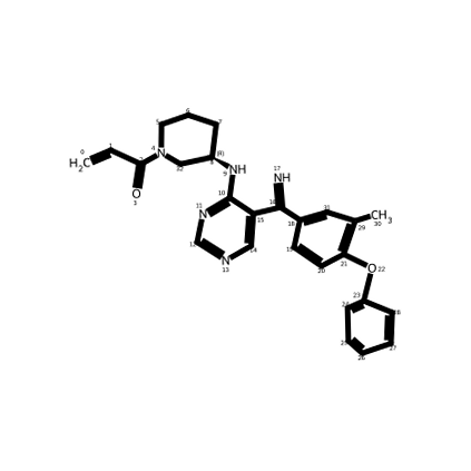 C=CC(=O)N1CCC[C@@H](Nc2ncncc2C(=N)c2ccc(Oc3ccccc3)c(C)c2)C1